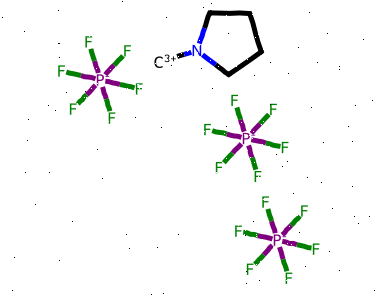 F[P-](F)(F)(F)(F)F.F[P-](F)(F)(F)(F)F.F[P-](F)(F)(F)(F)F.[C+3]N1CCCC1